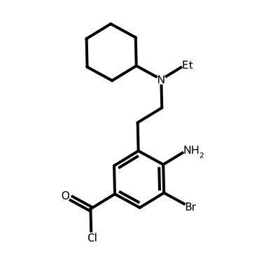 CCN(CCc1cc(C(=O)Cl)cc(Br)c1N)C1CCCCC1